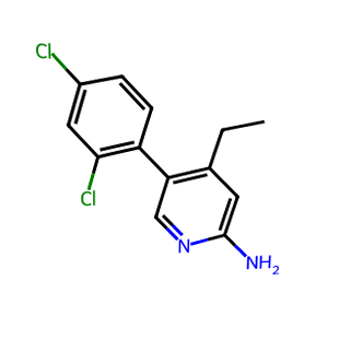 CCc1cc(N)ncc1-c1ccc(Cl)cc1Cl